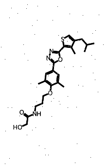 Cc1cc(-c2nnc(-c3scc(CC(C)C)c3C)o2)cc(C)c1OCCCNC(=O)CO